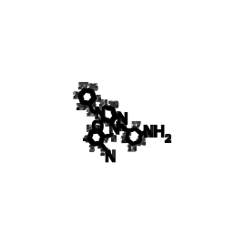 N#Cc1ccccc1Cn1c(C2CCCC(N)C2)nc2ccn(Cc3ccccc3)c(=O)c21